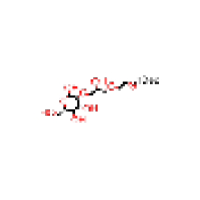 CCCCCCCCCCOCCOCC(O)CO[C@@H]1[C@@H](O)[C@@H](O)[C@@H](CO)O[C@H]1O